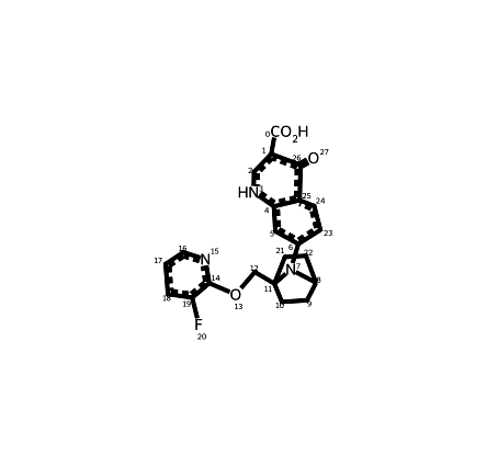 O=C(O)c1c[nH]c2cc(N3C4CCC3(COc3ncccc3F)CC4)ccc2c1=O